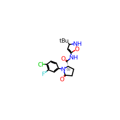 CC(C)(C)C1C=C(NC(=O)[C@@H]2CCC(=O)N2c2ccc(Cl)c(F)c2)ON1